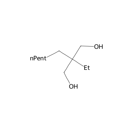 CCCCCCC(CC)(CO)CO